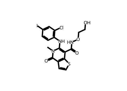 Cn1c(Nc2ccc(I)cc2Cl)c(C(=O)NOCCO)c2sccc2c1=O